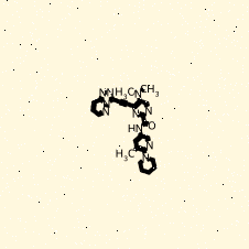 Cc1cc(NC(=O)c2ncc(N(C)C)c(C#Cc3nnc4cccnn34)n2)cnc1N1CCCCC1